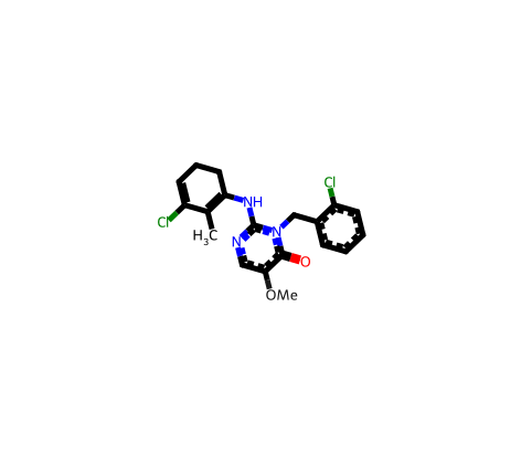 COc1cnc(NC2=C(C)C(Cl)=CCC2)n(Cc2ccccc2Cl)c1=O